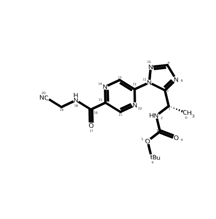 C[C@H](NC(=O)OC(C)(C)C)c1ncnn1-c1cnc(C(=O)NCC#N)cn1